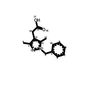 Cc1nn(Cc2ccccc2)c(C)c1CC(=O)O